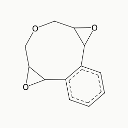 c1ccc2c(c1)C1OC1COCC1OC21